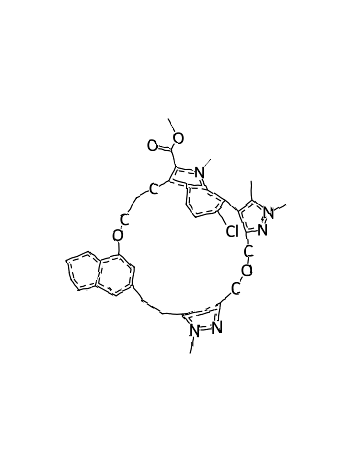 COC(=O)c1c2c3ccc(Cl)c(c3n1C)-c1c(nn(C)c1C)COCc1cc(n(C)n1)CCc1cc(c3ccccc3c1)OCCC2